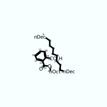 CCCCCCCCCCCCCCCCCCCCCCCCCCCC.CCCCCCCCOC(=O)c1ccccc1C(=O)O